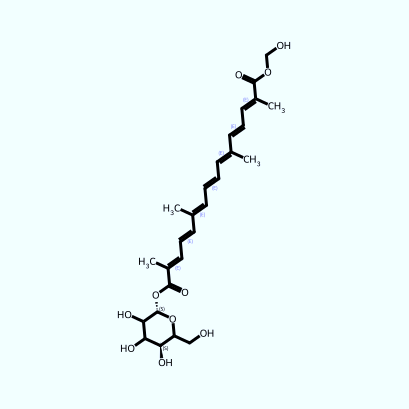 CC(/C=C/C=C(\C)C(=O)OCO)=C\C=C\C=C(C)\C=C\C=C(/C)C(=O)O[C@@H]1OC(CO)[C@@H](O)C(O)C1O